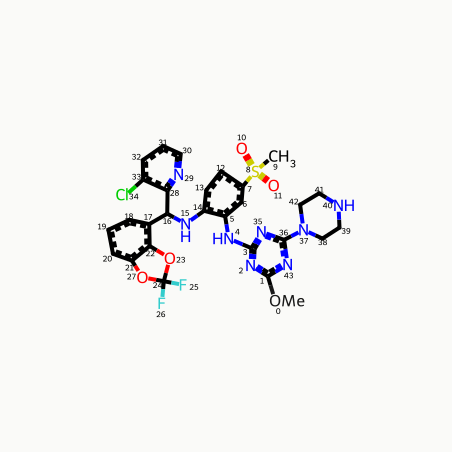 COc1nc(Nc2cc(S(C)(=O)=O)ccc2NC(c2cccc3c2OC(F)(F)O3)c2ncccc2Cl)nc(N2CCNCC2)n1